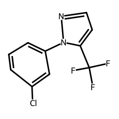 FC(F)(F)c1ccnn1-c1cccc(Cl)c1